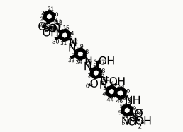 COc1cc(N=Nc2ccc(N=Nc3ccc(N=Nc4ccccc4S(=O)(=O)O)c(C)c3)c(C)c2)c(CO)cc1N=Nc1ccc2cc(Nc3ccc(N)c(S(=O)(=O)O)c3)ccc2c1O